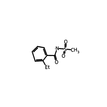 CCc1ccccc1C(=O)[N]S(C)(=O)=O